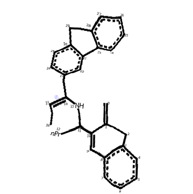 C=C1Cc2ccccc2C=C1C(CCC)N/C(=C\C)c1ccc2c(c1)-c1ccccc1C2